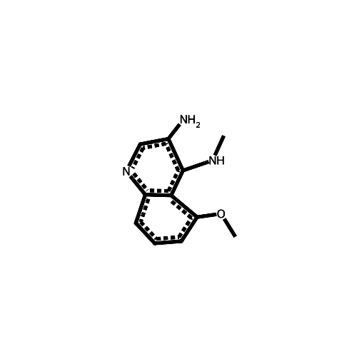 CNc1c(N)cnc2cccc(OC)c12